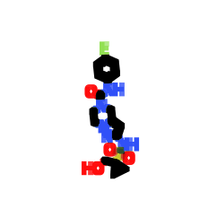 O=C(Nc1ccc(F)cc1)N1CCn2nc(NS(=O)(=O)C3(CO)CC3)cc2C1